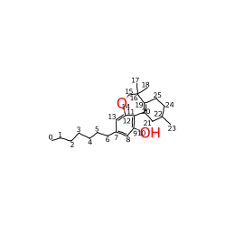 CCCCCCCc1cc(O)c2c(c1)OCC(C)(C)C1=C2CC(C)CC1